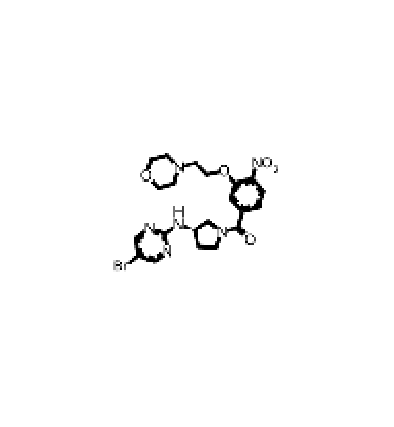 O=C(c1ccc([N+](=O)[O-])c(OCCN2CCOCC2)c1)N1CC[C@@H](Nc2ncc(Br)cn2)C1